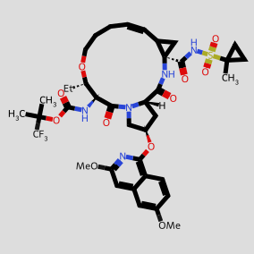 CC[C@@H]1OCCC/C=C\C2C[C@@]2(C(=O)NS(=O)(=O)C2(C)CC2)NC(=O)[C@@H]2C[C@@H](Oc3nc(OC)cc4cc(OC)ccc34)CN2C(=O)[C@H]1NC(=O)OC(C)(C)C(F)(F)F